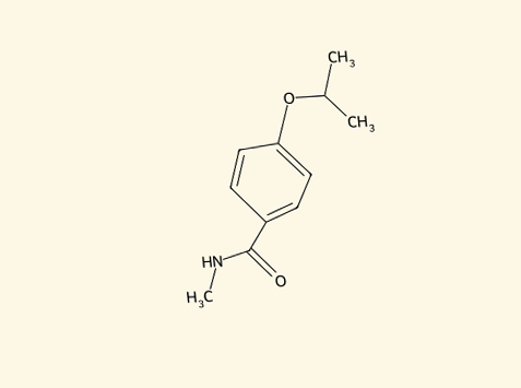 CNC(=O)c1ccc(OC(C)C)cc1